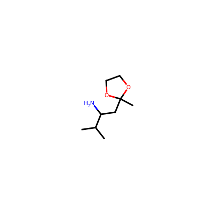 CC(C)C(N)CC1(C)OCCO1